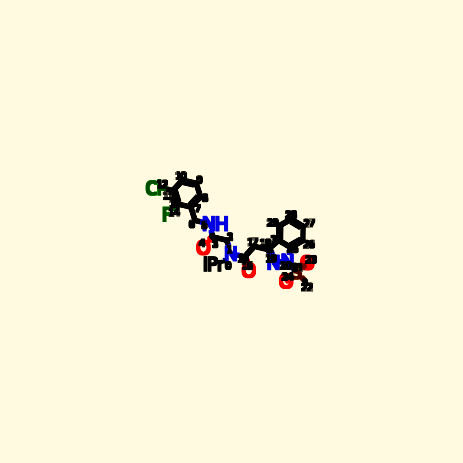 CC(C)N(CC(=O)NCc1cccc(Cl)c1F)C(=O)Cc1nn(S(C)(=O)=O)c2ccccc12